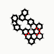 c1ccc(-c2ccc(-c3cccc4ccccc34)cc2N(c2cccc(-c3ccc4oc5ccccc5c4c3)c2)c2ccccc2-c2cccc3cccc(C4CCCCC4)c23)cc1